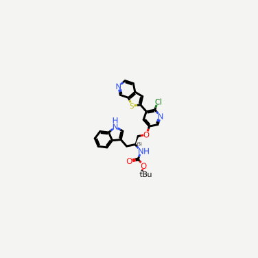 CC(C)(C)OC(=O)N[C@H](COc1cnc(Cl)c(-c2cc3ccncc3s2)c1)Cc1c[nH]c2ccccc12